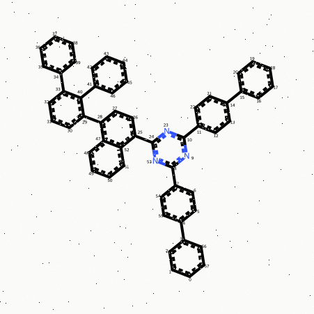 c1ccc(-c2ccc(-c3nc(-c4ccc(-c5ccccc5)cc4)nc(-c4ccc(-c5cccc(-c6ccccc6)c5-c5ccccc5)c5ccccc45)n3)cc2)cc1